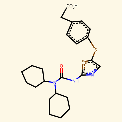 O=C(O)Cc1ccc(Sc2cnc(NC(=O)N(C3CCCCC3)C3CCCCC3)s2)cc1